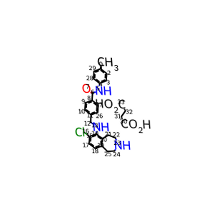 Cc1ccc(NC(=O)c2ccc(CNc3c(Cl)ccc4c3CCNCC4)cc2)cc1.O=C(O)CCC(=O)O